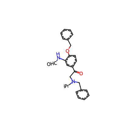 CC(C)N(CC(=O)c1ccc(OCc2ccccc2)c(NC=O)c1)Cc1ccccc1